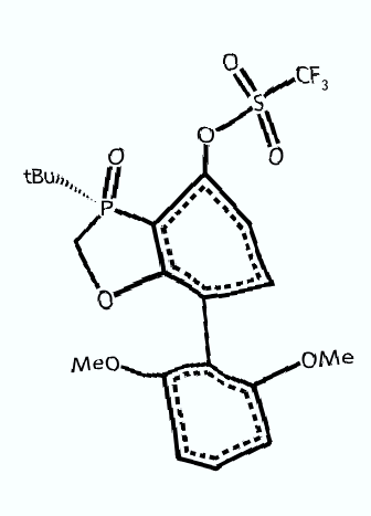 COc1cccc(OC)c1-c1ccc(OS(=O)(=O)C(F)(F)F)c2c1OC[P@]2(=O)C(C)(C)C